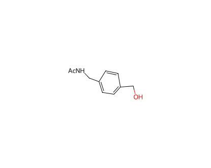 CC(=O)NCc1ccc(CO)cc1